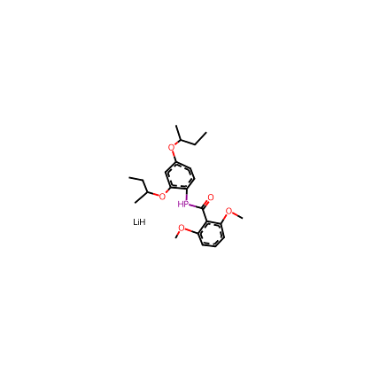 CCC(C)Oc1ccc(PC(=O)c2c(OC)cccc2OC)c(OC(C)CC)c1.[LiH]